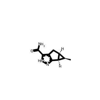 C[C@@H]1[C@@H]2Cc3c(n[nH]c3C(N)=O)[C@H]12